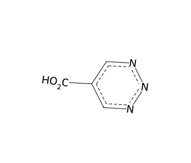 O=C(O)c1cnnnc1